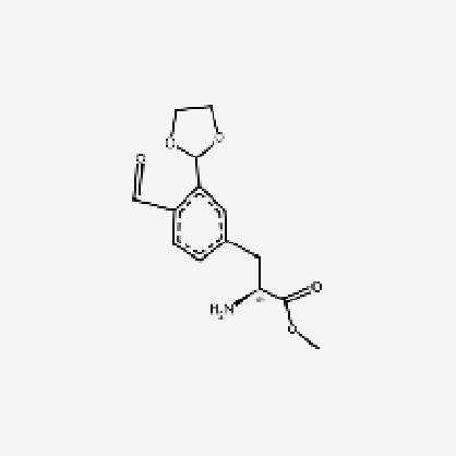 COC(=O)[C@@H](N)Cc1ccc(C=O)c(C2OCCO2)c1